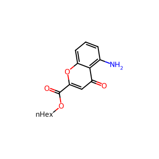 CCCCCCOC(=O)c1cc(=O)c2c(N)cccc2o1